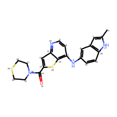 Cc1cc2cc(Nc3ccnc4cc(C(=O)N5CCSCC5)sc34)ccc2[nH]1